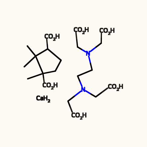 CC1(C(=O)O)CCC(C(=O)O)C1(C)C.O=C(O)CN(CCN(CC(=O)O)CC(=O)O)CC(=O)O.[CaH2]